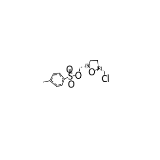 Cc1ccc(S(=O)(=O)OC[C@@H]2CC[C@H](CCl)O2)cc1